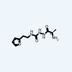 C[C@@H](N)C(=O)NNC(=O)NCCc1cccs1